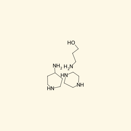 C1CNCCN1.NC1CCNCC1.NCCCO